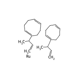 C=CC(C)/C1=C/CC/C=C\CC1.C=CC(C)/C1=C/CC/C=C\CC1.[Ru]